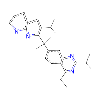 CCc1nc(C(C)C)nc2cc(C(C)(C)c3nc4ncccc4cc3C(C)C)ccc12